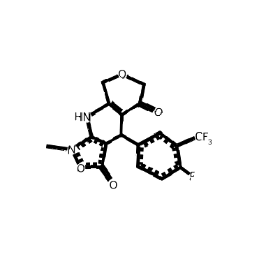 Cn1oc(=O)c2c1NC1=C(C(=O)COC1)C2c1ccc(F)c(C(F)(F)F)c1